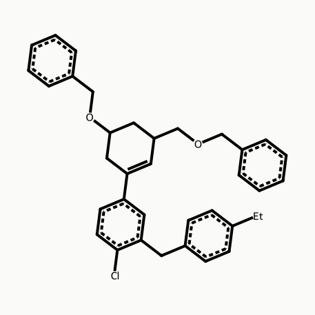 CCc1ccc(Cc2cc(C3=CC(COCc4ccccc4)CC(OCc4ccccc4)C3)ccc2Cl)cc1